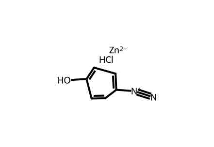 Cl.N#[N+]c1ccc(O)cc1.[Zn+2]